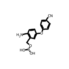 N#Cc1ccc(Oc2ccc(N)c(COB(O)O)c2)cc1